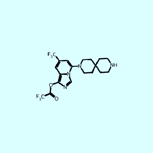 O=C(Oc1ncn2c(N3CCC4(CCNCC4)CC3)cc(C(F)(F)F)cc12)C(F)(F)F